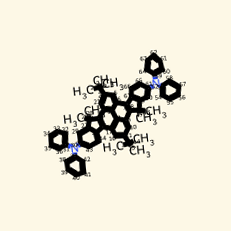 CC(C)(C)c1cc2c3c(c4cc(C(C)(C)C)cc5c6c(c(c1)c2c54)C(C)(C)c1cc(N(c2ccccc2)c2ccccc2)ccc1-6)C(C)(C)c1cc(N(c2ccccc2)c2ccccc2)ccc1-3